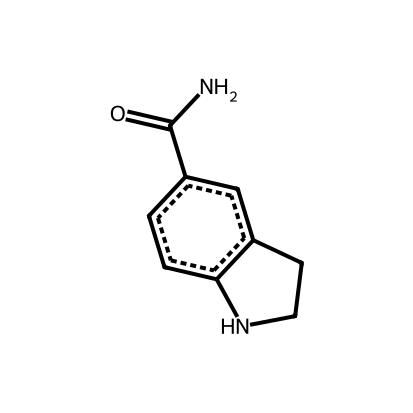 NC(=O)c1ccc2c(c1)CCN2